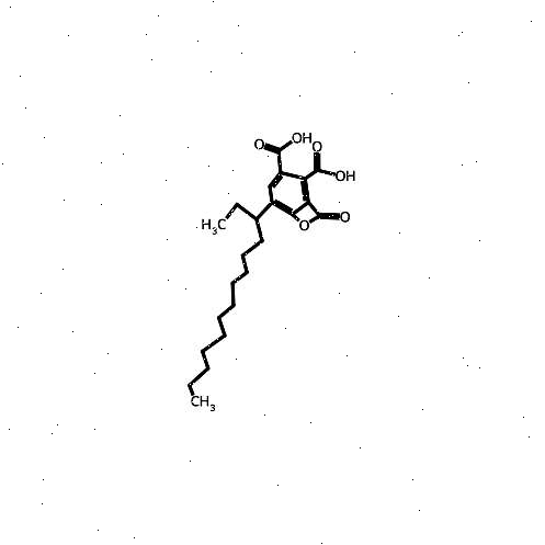 CCCCCCCCCCCC(CC)c1cc(C(=O)O)c(C(=O)O)c2c1OC2=O